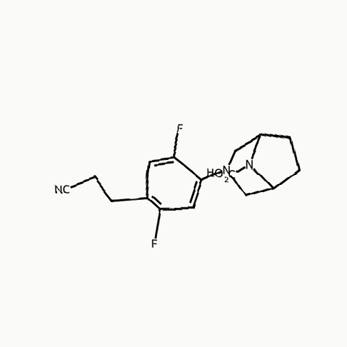 N#CCCc1cc(F)c(N2CC3CCC(C2)N3C(=O)O)cc1F